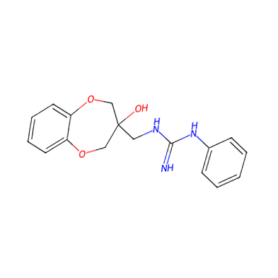 N=C(NCC1(O)COc2ccccc2OC1)Nc1ccccc1